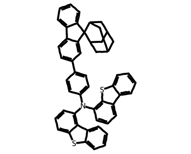 c1ccc2c(c1)-c1ccc(-c3ccc(N(c4cccc5c4sc4ccccc45)c4cccc5sc6ccccc6c45)cc3)cc1C21C2CC3CC(C2)CC1C3